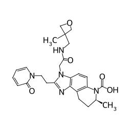 C[C@H]1CCc2c(ccc3c2nc(CCn2ccccc2=O)n3CC(=O)NCC2(C)COC2)N1C(=O)O